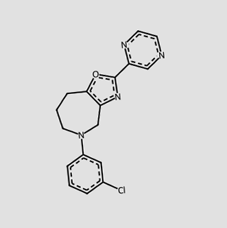 Clc1cccc(N2CCCc3oc(-c4cnccn4)nc3C2)c1